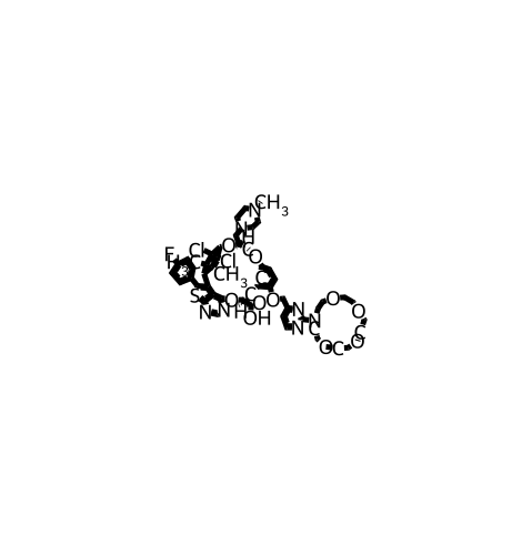 Cc1c(Cl)c2c(Cl)c(C)c1-c1c(-c3ccc(F)cc3)sc3ncnc(c13)O[C@@H](C(=O)O)Cc1cc(ccc1OCc1ccnc(N3CCOCCOCCOCCOCC3)n1)OC[C@@H](CN1CCN(C)CC1)O2